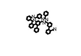 N#Cc1ccccc1-c1cccc(-c2nc(-c3ccccc3)nc(-c3ccc(-c4ccccc4-c4nc(-c5ccccc5)nc5ccccc45)c(-c4ccccc4)c3)n2)c1